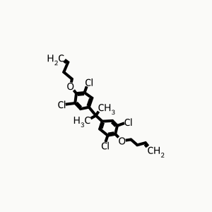 C=CCCOc1c(Cl)cc(C(C)(C)c2cc(Cl)c(OCCC=C)c(Cl)c2)cc1Cl